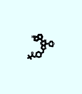 CC(C)(C)C(=O)CN1CCN(CC2Cc3nc(-c4cccc5[nH]ccc45)nc(N4CCOCC4)c3S2)CC1